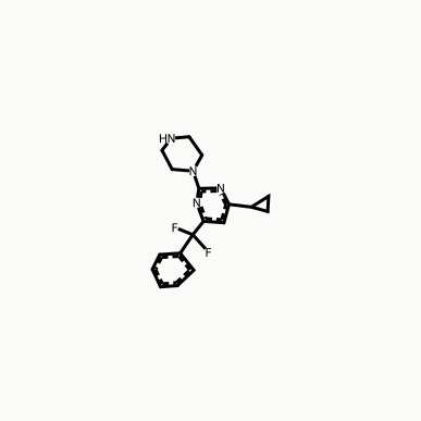 FC(F)(c1ccccc1)c1cc(C2CC2)nc(N2CCNCC2)n1